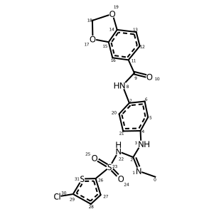 C/N=C(\Nc1ccc(NC(=O)c2ccc3c(c2)OCO3)cc1)NS(=O)(=O)c1ccc(Cl)s1